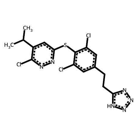 CC(C)c1cc(Sc2c(Cl)cc(CCc3nnn[nH]3)cc2Cl)nnc1Cl